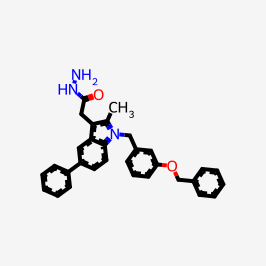 Cc1c(CC(=O)NN)c2cc(-c3ccccc3)ccc2n1Cc1cccc(OCc2ccccc2)c1